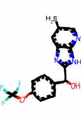 Bc1cnc2[nH]c(C(O)c3ccc(OC(F)(F)F)cc3)nc2c1